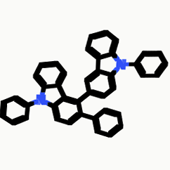 c1ccc(-c2ccc3c(c2-c2ccc4c(c2)c2ccccc2n4-c2ccccc2)c2ccccc2n3-c2ccccc2)cc1